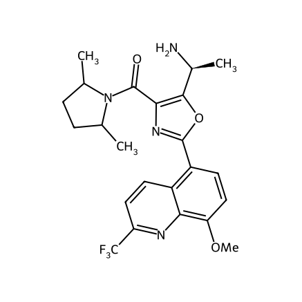 COc1ccc(-c2nc(C(=O)N3C(C)CCC3C)c([C@H](C)N)o2)c2ccc(C(F)(F)F)nc12